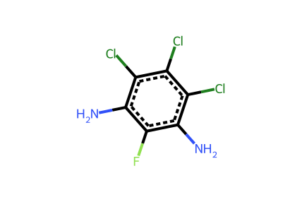 Nc1c(F)c(N)c(Cl)c(Cl)c1Cl